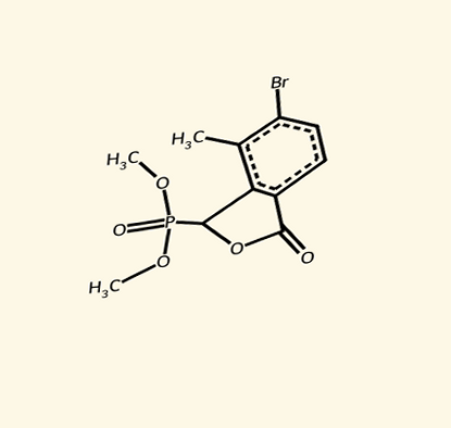 COP(=O)(OC)C1OC(=O)c2ccc(Br)c(C)c21